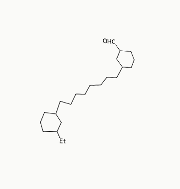 CCC1CCCC(CCCCCCCCC2CCCC(C=O)C2)C1